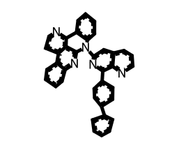 c1ccc(-c2ccc(-c3nc(N4c5ccccc5-c5nccc6c5c4nc4ccccc46)cc4cccnc34)cc2)cc1